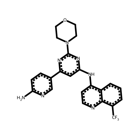 Nc1ccc(-c2cc(Nc3ccnc4c(C(F)(F)F)cccc34)nc(N3CCOCC3)n2)cn1